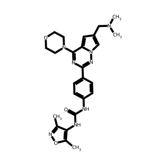 Cc1noc(C)c1NC(=O)Nc1ccc(-c2nc(N3CCOCC3)c3cc(CN(C)C)cn3n2)cc1